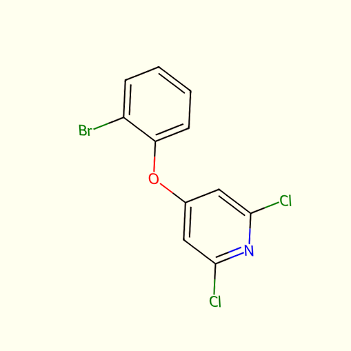 Clc1cc(Oc2ccccc2Br)cc(Cl)n1